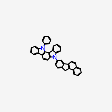 c1ccc(-n2c3ccccc3c3ccc4c(c5ccccc5n4-c4ccc5c(c4)-c4ccc6ccccc6c4C5)c32)cc1